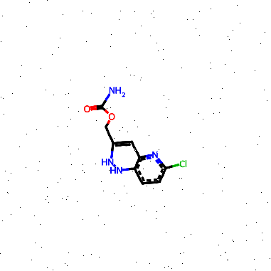 NC(=O)OCC1=Cc2nc(Cl)ccc2NN1